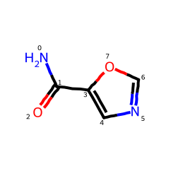 NC(=O)c1cnco1